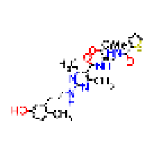 COC(=O)[C@H](CNC(=O)c1cccs1)NC(=O)c1c(C)nc(NCCCc2cc(O)ccc2C)nc1C